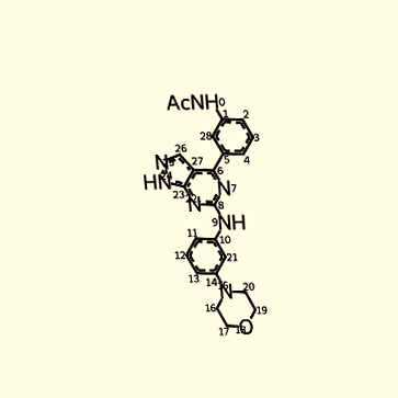 CC(=O)Nc1cccc(-c2nc(Nc3cccc(N4CCOCC4)c3)nc3[nH]ncc23)c1